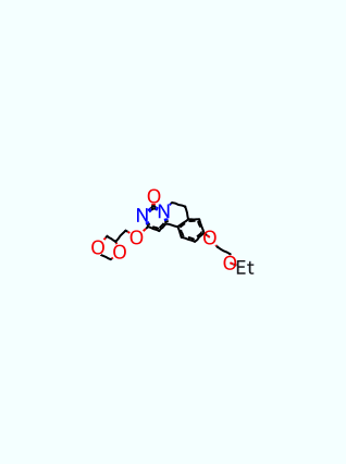 CCOCCOc1ccc2c(c1)CCn1c-2cc(OCC2COCCO2)nc1=O